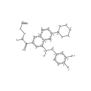 CNCCN(C)C(=O)c1cc(C(C)Oc2ccc(F)c(F)c2)c2nc(N3CCOCC3)cnc2c1